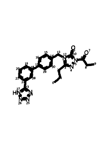 CCCc1nn(C(=O)CC)c(=O)n1Cc1ccc(-c2cccc(-c3nnn[nH]3)c2)cc1